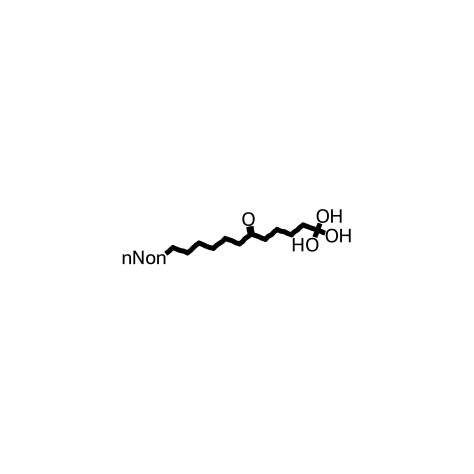 CCCCCCCCCCCCCCCC(=O)CCCCC(O)(O)O